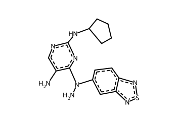 Nc1cnc(NC2CCCC2)nc1N(N)c1ccc2nsnc2c1